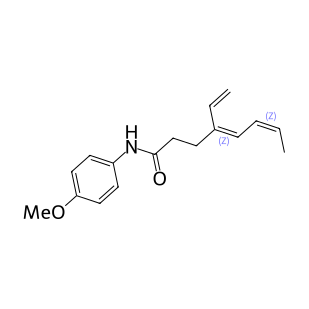 C=C/C(=C\C=C/C)CCC(=O)Nc1ccc(OC)cc1